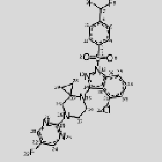 O=S(=O)(c1ccc(C(F)F)cc1)n1nc(N2CCN(c3ncc(F)cn3)CC23CC3)c2c(Cl)cccc21